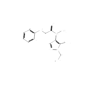 Cc1c(N(C)C(=O)COc2ccccc2)cnn1CC(C)C